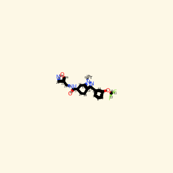 CC(C)n1nc(-c2cccc(OC(F)F)c2)c2c1CC(C(=O)NCc1cnoc1)CC2